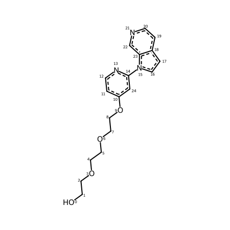 OCCOCCOCCOc1ccnc(-n2ccc3ccncc32)c1